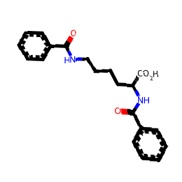 O=C(NCCCCC(NC(=O)c1ccccc1)C(=O)O)c1ccccc1